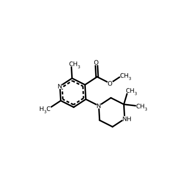 COC(=O)c1c(N2CCNC(C)(C)C2)cc(C)nc1C